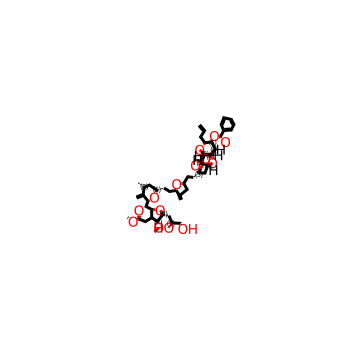 C=CCC1O[C@@H]2[C@H]3O[C@@H]4C[C@@](CCC5CC(=C)C(CC[C@H]6C[C@@H](C)C(=C)C(CC7O[C@H](C[C@H](O)CO)[C@H](OC)C7CC(=O)OC)O6)O5)(O[C@H]24)O[C@H]3[C@H]1OC(=O)c1ccccc1